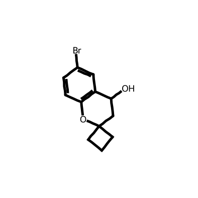 OC1CC2(CCC2)Oc2ccc(Br)cc21